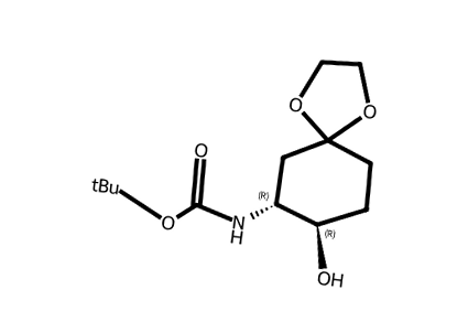 CC(C)(C)OC(=O)N[C@@H]1CC2(CC[C@H]1O)OCCO2